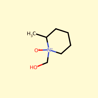 CC1CCCC[N+]1([O-])CO